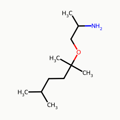 CC(C)CCC(C)(C)OCC(C)N